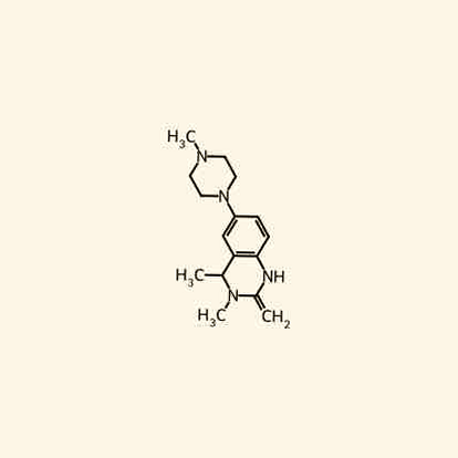 C=C1Nc2ccc(N3CCN(C)CC3)cc2C(C)N1C